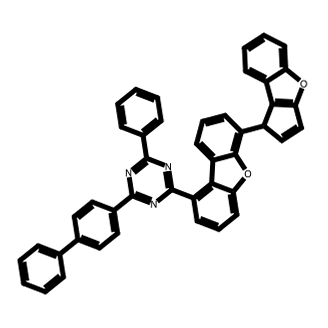 C1=CC(c2cccc3c2oc2cccc(-c4nc(-c5ccccc5)nc(-c5ccc(-c6ccccc6)cc5)n4)c23)c2c1oc1ccccc21